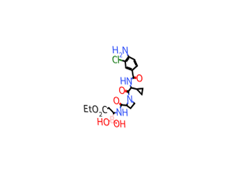 CCOC(=O)CC(NC(=O)C1CCN1C(=O)C(NC(=O)c1ccc(N)c(Cl)c1)C1CC1)B(O)O